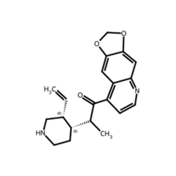 C=C[C@H]1CNCC[C@H]1C(C)C(=O)c1ccnc2cc3c(cc12)OCO3